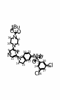 CC(C)(C)OC(=O)N1CCN(c2cncc(N3CCc4cc(NS(=O)(=O)c5cc(Cl)cc(Cl)c5)ccc43)n2)CC1